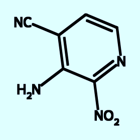 N#Cc1ccnc([N+](=O)[O-])c1N